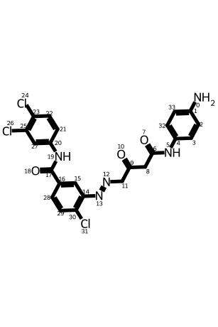 Nc1ccc(NC(=O)CC(=O)CN=Nc2cc(C(=O)Nc3ccc(Cl)c(Cl)c3)ccc2Cl)cc1